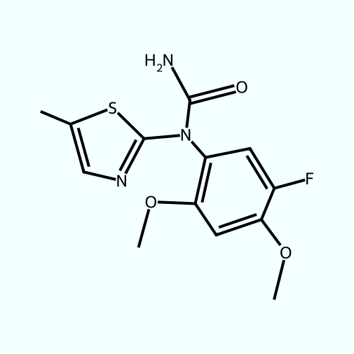 COc1cc(OC)c(N(C(N)=O)c2ncc(C)s2)cc1F